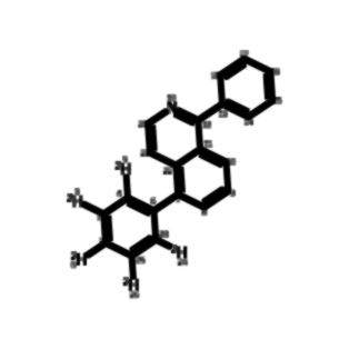 [2H]c1c([2H])c([2H])c(-c2cccc3c(-c4ccccc4)nccc23)c([2H])c1[2H]